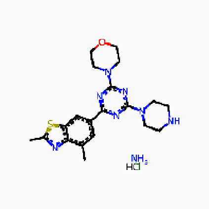 Cc1nc2c(C)cc(-c3nc(N4CCNCC4)nc(N4CCOCC4)n3)cc2s1.Cl.N